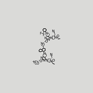 C=CC(=O)N1CCN(c2nc(OC[C@@H]3CC(c4ccc(N5CCc6c(nc(OC[C@H]7CN(C)CCO7)nc6N6CCN(C(=O)C=C)[C@@H](CC#N)C6)C5)c5ccccc45)CN3C)nc3c2CCN(c2ccccc2C(F)F)C3)CC1CC#N